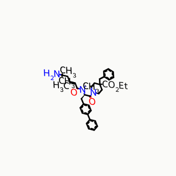 CCOC(=O)C1(Cc2ccccc2)CCN(C(=O)[C@@H](Cc2ccc(-c3ccccc3)cc2)N(C)C(=O)C=C(C)CC(C)(C)N)CC1